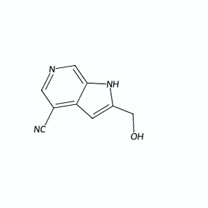 N#Cc1cncc2[nH]c(CO)cc12